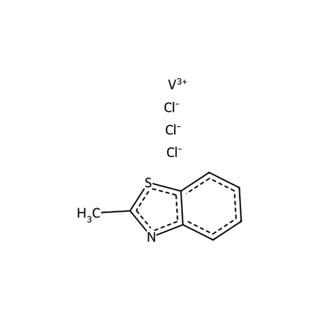 Cc1nc2ccccc2s1.[Cl-].[Cl-].[Cl-].[V+3]